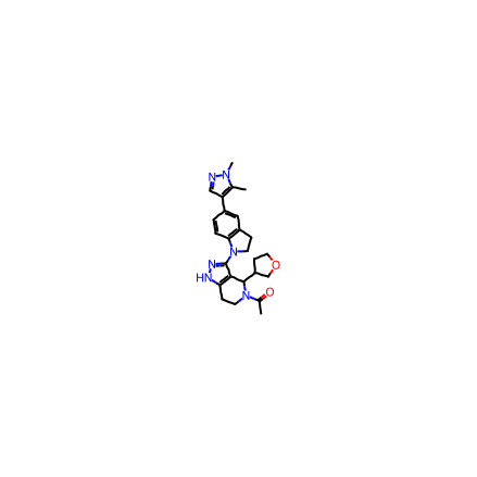 CC(=O)N1CCc2[nH]nc(N3CCc4cc(-c5cnn(C)c5C)ccc43)c2C1C1CCOC1